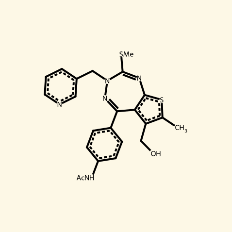 CSC1=Nc2sc(C)c(CO)c2C(c2ccc(NC(C)=O)cc2)=NN1Cc1cccnc1